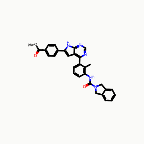 COC(=O)c1ccc(-c2cc3c(-c4cccc(NC(=O)N5Cc6ccccc6C5)c4C)ncnc3[nH]2)cc1